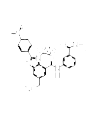 COCCn1c(C2=CCC(N(C)C(C)=O)C=C2)nc2cc(CC#N)cc(C(=O)Nc3cccc(C(N)=O)c3)c21